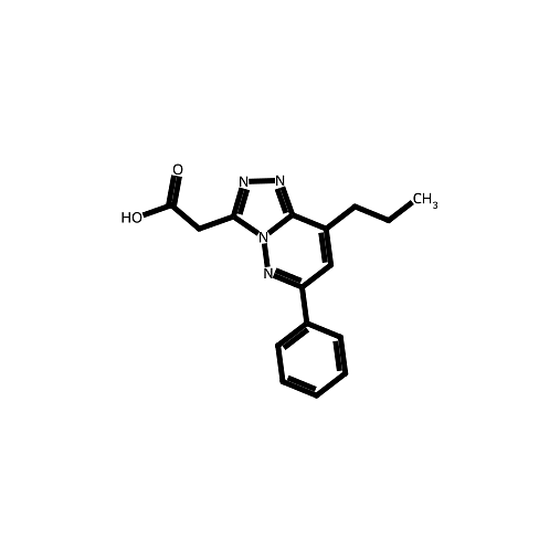 CCCc1cc(-c2ccccc2)nn2c(CC(=O)O)nnc12